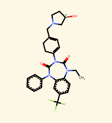 CCN1C(=O)N(C2=CC=C(CN3CC[C@@H](O)C3)CC2)C(=O)N(c2ccccc2)c2cc(C(F)(F)F)ccc21